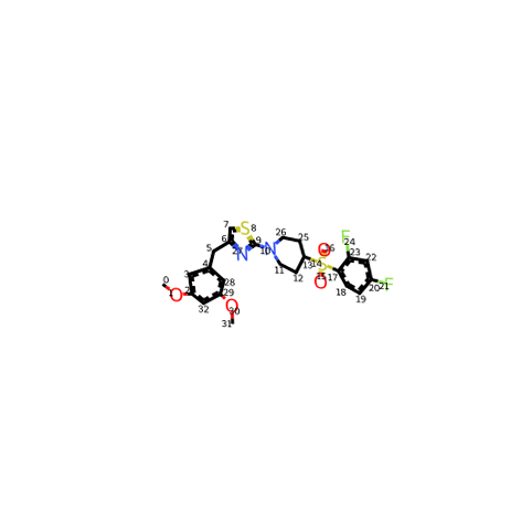 COc1cc(Cc2csc(N3CCC(S(=O)(=O)c4ccc(F)cc4F)CC3)n2)cc(OC)c1